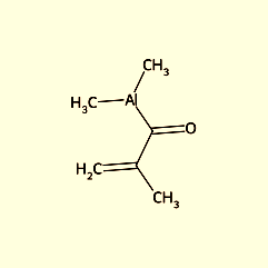 C=C(C)[C](=O)[Al]([CH3])[CH3]